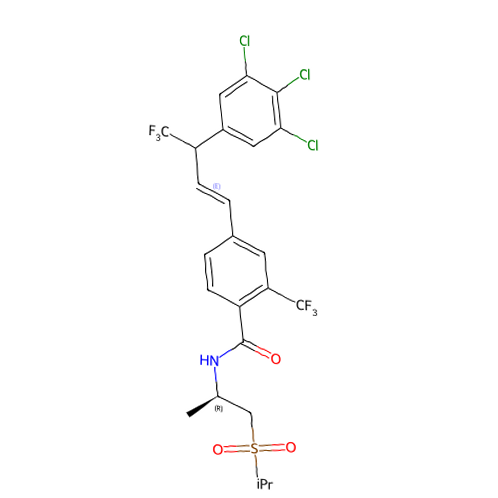 CC(C)S(=O)(=O)C[C@@H](C)NC(=O)c1ccc(/C=C/C(c2cc(Cl)c(Cl)c(Cl)c2)C(F)(F)F)cc1C(F)(F)F